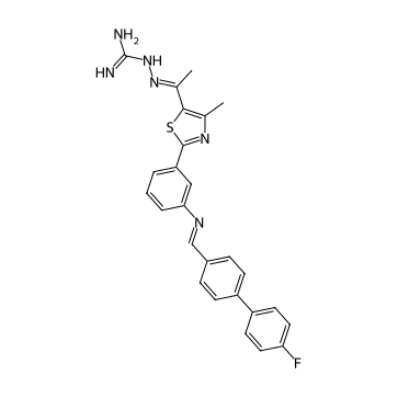 CC(=NNC(=N)N)c1sc(-c2cccc(N=Cc3ccc(-c4ccc(F)cc4)cc3)c2)nc1C